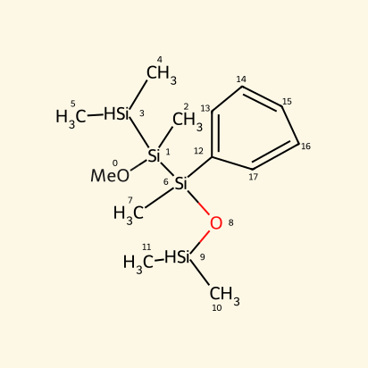 CO[Si](C)([SiH](C)C)[Si](C)(O[SiH](C)C)c1ccccc1